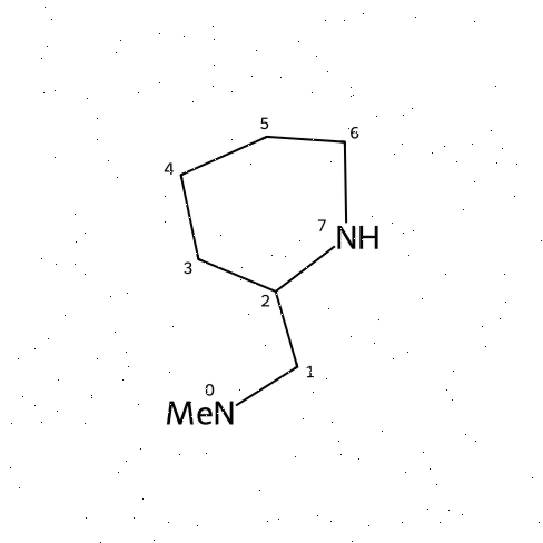 CNCC1CCCCN1